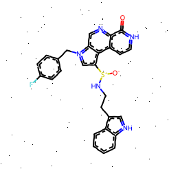 O=c1[nH]ccc2c1ncc1c2c([S+]([O-])NCCc2c[nH]c3ccccc23)cn1Cc1ccc(F)cc1